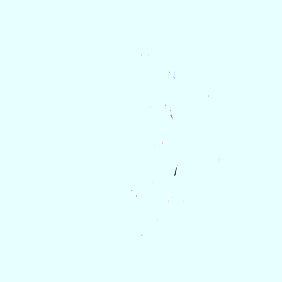 O=c1[nH]c(=O)n([C@H]2C[C@H](O)[C@@H](COP3(=O)N=C(c4ccccc4)C=CO3)O2)cc1F